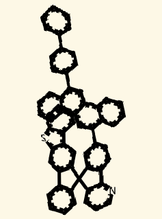 c1ccc(-c2ccc(-c3cc4c5ccccc5c(-c5ccc6c(c5)C5(c7ccccc7-c7cc8sc9ccccc9c8cc75)c5cccnc5-6)cc4c4ccccc34)cc2)cc1